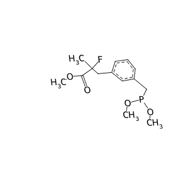 COC(=O)C(C)(F)Cc1cccc(CP(OC)OC)c1